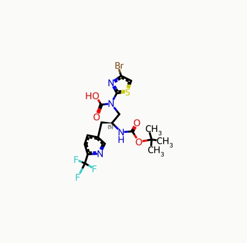 CC(C)(C)OC(=O)N[C@@H](Cc1ccc(C(F)(F)F)nc1)CN(C(=O)O)c1nc(Br)cs1